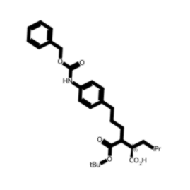 CC(C)C[C@@H](C(=O)O)C(CCCc1ccc(NC(=O)OCc2ccccc2)cc1)C(=O)OC(C)(C)C